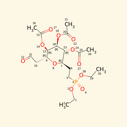 CCOP(=O)(CC[C@H]1O[C@H](CC=O)[C@@H](OC(C)=O)[C@@H](OC(C)=O)[C@@H]1OC(C)=O)OCC